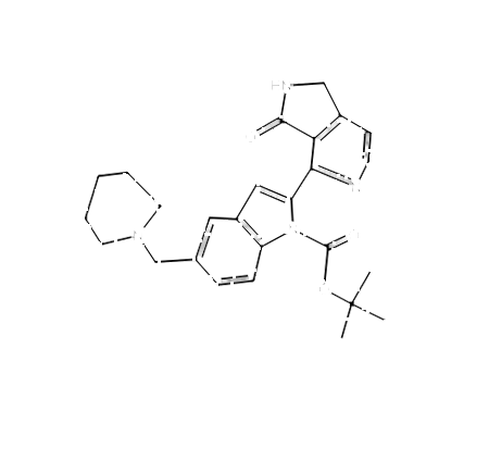 CC(C)(C)OC(=O)n1c(-c2nccc3c2C(=O)NC3)cc2cc(CN3CCCCC3)ccc21